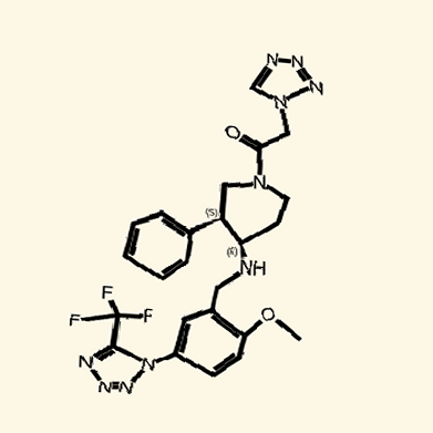 COc1ccc(-n2nnnc2C(F)(F)F)cc1CN[C@@H]1CCN(C(=O)Cn2cnnn2)C[C@@H]1c1ccccc1